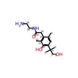 Cc1cc(C(C)(C)CO)c(O)c(C)c1CC(=O)NCCN